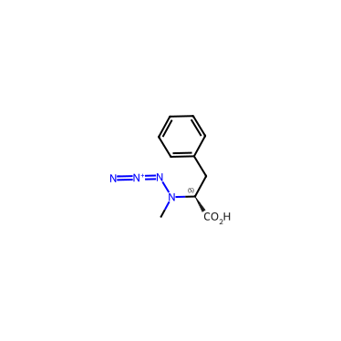 CN(N=[N+]=[N-])[C@@H](Cc1ccccc1)C(=O)O